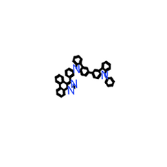 c1ccc(-n2c3ccccc3c3cc(-c4ccc5c(c4)c4ccccc4n5-c4cccc(-c5ncnc6c7ccccc7c7ccccc7c56)c4)ccc32)cc1